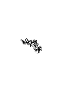 C[C@@H]1C[C@H]1C(=O)Nc1ccc(-c2nnn(C)c2NC(=O)O[C@H](C)c2cccnc2Cl)nc1